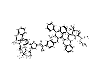 CN[C@@H](C)C(=O)NC(C(=O)N1C[C@@H](NC(O)c2ccc(CN(C(=O)C3Cc4ccccc4CN3C(=O)C(NC(=O)[C@H](C)NC)C(C)(C)C)C(C)C(c3ccccc3)c3ccccc3)cc2)CC1C(=O)NC1CCCc2ccccc21)C(C)(C)C